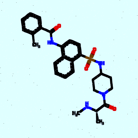 CN[C@@H](C)C(=O)N1CCC(NS(=O)(=O)c2ccc(NC(=O)c3ccccc3C)c3ccccc23)CC1